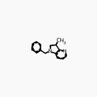 CC1CN(Cc2ccccc2)c2cccnc21